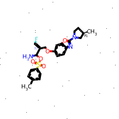 Cc1ccc(S(=O)(=O)OC(N)/C(=C/F)COc2ccc3nc(N4CC[C@@H](C)C4)oc3c2)cc1